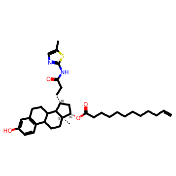 C=CCCCCCCCCCC(=O)O[C@H]1C[C@@H](CCC(=O)Nc2ncc(C)s2)C2C3CCc4cc(O)ccc4C3CC[C@@]21C